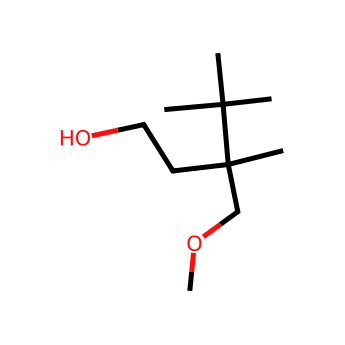 COCC(C)(CCO)C(C)(C)C